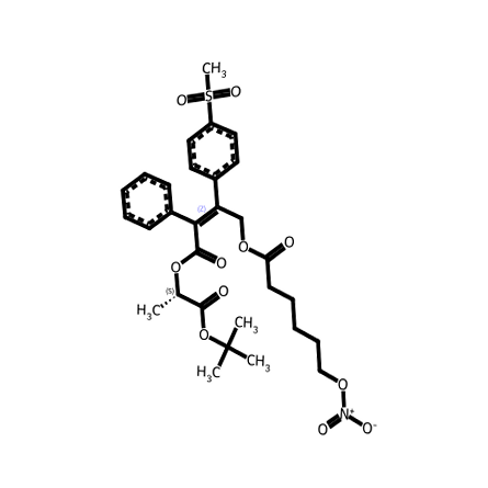 C[C@H](OC(=O)/C(=C(\COC(=O)CCCCCO[N+](=O)[O-])c1ccc(S(C)(=O)=O)cc1)c1ccccc1)C(=O)OC(C)(C)C